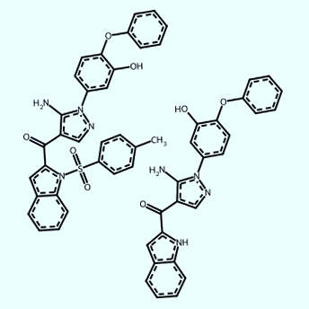 Cc1ccc(S(=O)(=O)n2c(C(=O)c3cnn(-c4ccc(Oc5ccccc5)c(O)c4)c3N)cc3ccccc32)cc1.Nc1c(C(=O)c2cc3ccccc3[nH]2)cnn1-c1ccc(Oc2ccccc2)c(O)c1